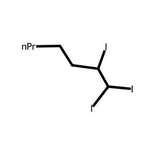 CCCCCC(I)[C](I)I